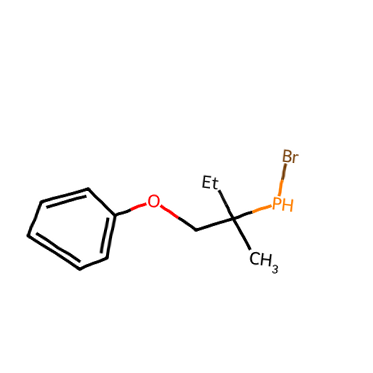 CCC(C)(COc1ccccc1)PBr